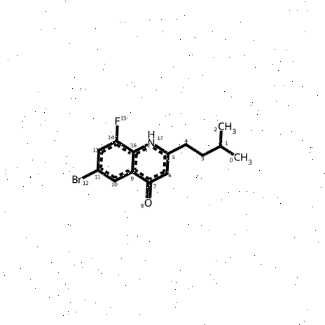 CC(C)CCc1cc(=O)c2cc(Br)cc(F)c2[nH]1